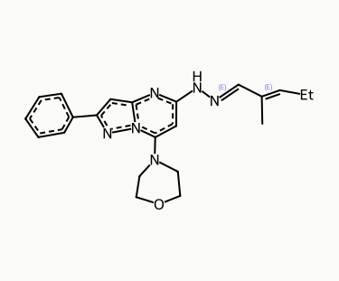 CC/C=C(C)/C=N/Nc1cc(N2CCOCC2)n2nc(-c3ccccc3)cc2n1